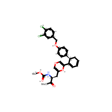 COC(=O)[C@H](CC1=COC=C(C2=CC=CC[C@@H]2c2ccc(OCc3ccc(Cl)c(Cl)c3)cc2)O1)NC(=O)OC(C)(C)C